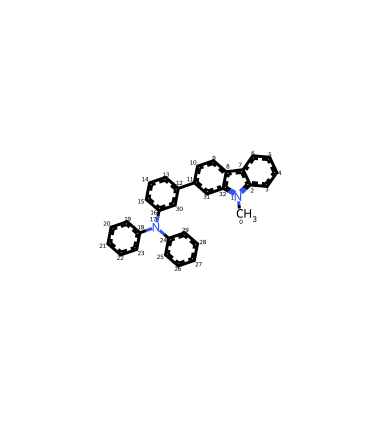 Cn1c2ccccc2c2ccc(-c3cccc(N(c4ccccc4)c4ccccc4)c3)cc21